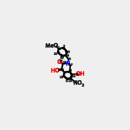 COc1ccc(CN(Cc2cccc([N+](=O)[O-])c2O)C(=O)CO)cc1